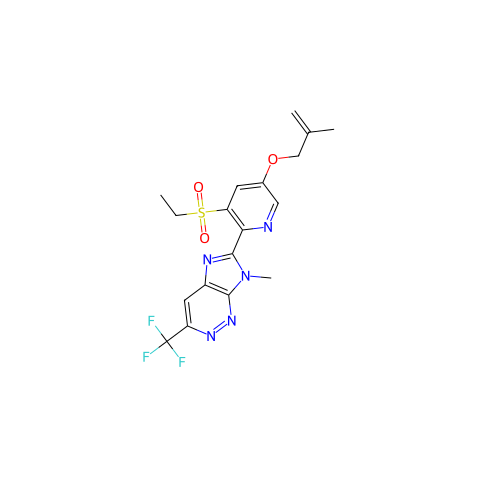 C=C(C)COc1cnc(-c2nc3cc(C(F)(F)F)nnc3n2C)c(S(=O)(=O)CC)c1